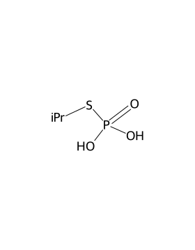 CC(C)SP(=O)(O)O